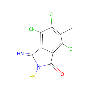 Cc1c(Cl)c(Cl)c2c(c1Cl)C(=O)N(S)C2=N